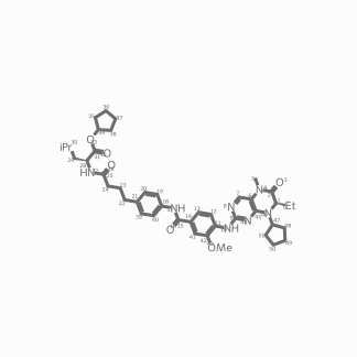 CC[C@@H]1C(=O)N(C)c2cnc(Nc3ccc(C(=O)Nc4ccc(CCCC(=O)N[C@@H](CC(C)C)C(=O)OC5CCCC5)cc4)cc3OC)nc2N1C1CCCC1